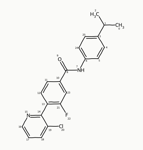 CC(C)c1ccc(NC(=O)c2ccc(-c3ncccc3Cl)c(F)c2)cc1